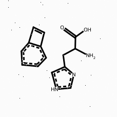 C1=Cc2ccccc21.NC(Cc1c[nH]cn1)C(=O)O